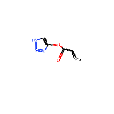 C=CC(=O)Oc1c[nH]nn1